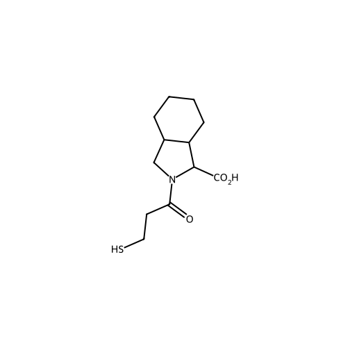 O=C(O)C1C2CCCCC2CN1C(=O)CCS